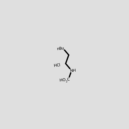 CCCCCCNC(=O)O.Cl